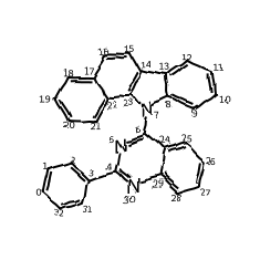 c1ccc(-c2nc(-n3c4ccccc4c4ccc5ccccc5c43)c3ccccc3n2)cc1